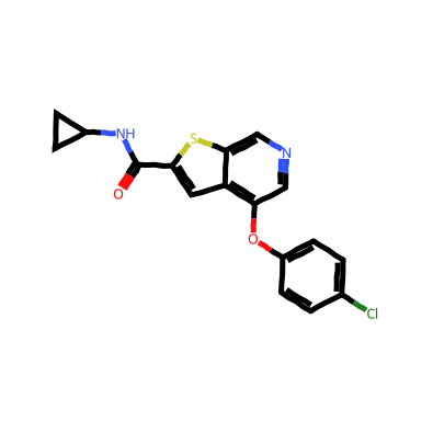 O=C(NC1CC1)c1cc2c(Oc3ccc(Cl)cc3)cncc2s1